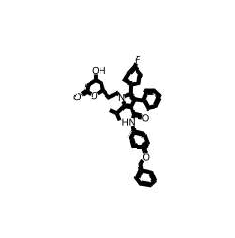 CC(C)c1c(C(=O)Nc2ccc(OCc3ccccc3)cc2)c(-c2ccccc2)c(-c2ccc(F)cc2)n1CCC1CC(O)CC(=O)O1